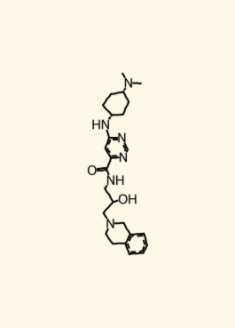 CN(C)[C@H]1CC[C@@H](Nc2cc(C(=O)NCC(O)CN3CCc4ccccc4C3)ncn2)CC1